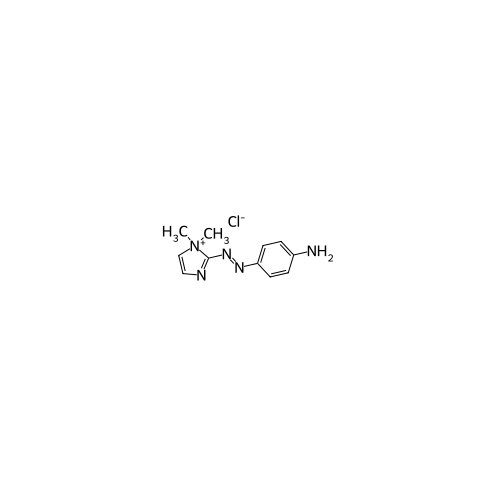 C[N+]1(C)C=CN=C1N=Nc1ccc(N)cc1.[Cl-]